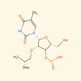 CO[C@H](C)CO[C@H]1C(O[PH](=O)O)[C@@H](CO)O[C@H]1n1cc(C)c(=O)[nH]c1=O